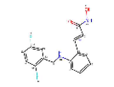 O=C(/C=C/c1ccccc1NCc1cc(F)ccc1F)NO